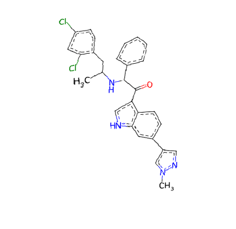 CC(Cc1ccc(Cl)cc1Cl)NC(C(=O)c1c[nH]c2cc(-c3cnn(C)c3)ccc12)c1ccccc1